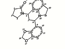 O=C1CCCN1C1CC(c2cccc3c2OCO3)N2CCc3cccc1c32